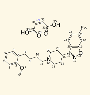 COc1ccccc1CCCCN1CCC(c2noc3cc(F)ccc23)CC1.O=C(O)/C=C\C(=O)O